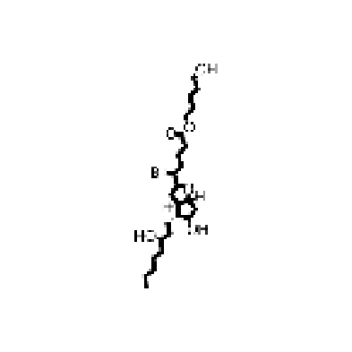 CCCCC[C@H](O)/C=C/[C@@H]1[C@H]2CC(C(Br)CCCC(=O)OCCCCCO)O[C@@H]2C[C@H]1O